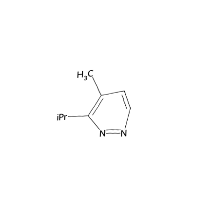 Cc1ccnnc1C(C)C